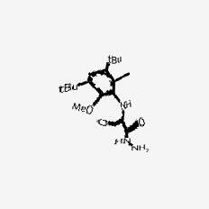 COc1c(C(C)(C)C)cc(C(C)(C)C)c(C)c1NC(=O)C(=O)NN